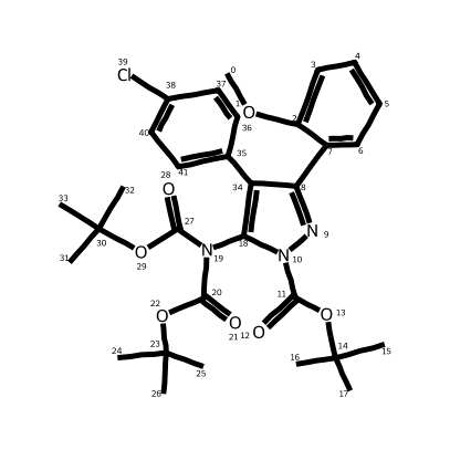 COc1ccccc1-c1nn(C(=O)OC(C)(C)C)c(N(C(=O)OC(C)(C)C)C(=O)OC(C)(C)C)c1-c1ccc(Cl)cc1